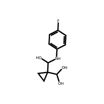 OC(O)C1(C(O)Nc2ccc(F)cc2)CC1